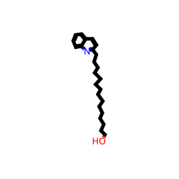 OCCCCCCCCCCCCCCCc1ccc2ccccc2n1